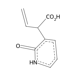 C=CC(C(=O)O)c1ccc[nH]c1=O